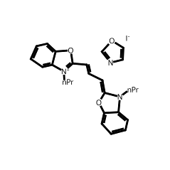 CCCN1/C(=C/C=C/c2oc3ccccc3[n+]2CCC)Oc2ccccc21.[I-].c1cocn1